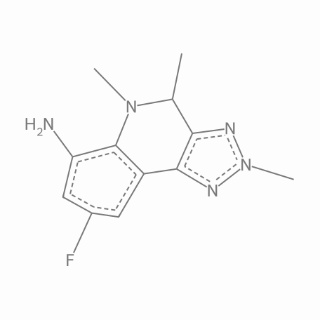 CC1c2nn(C)nc2-c2cc(F)cc(N)c2N1C